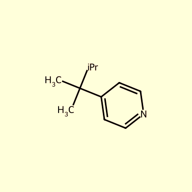 CC(C)C(C)(C)c1ccncc1